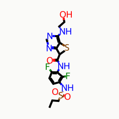 CCCS(=O)(=O)Nc1ccc(F)c(NC(=O)C2CSc3c(NCCO)ncnc32)c1F